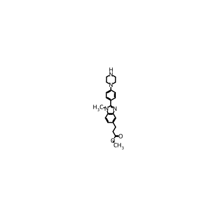 COC(=O)CCc1ccc2c(c1)nc(-c1ccc(N3CCNCC3)cc1)n2C